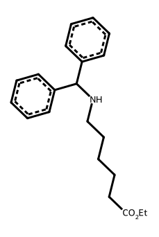 CCOC(=O)CCCCCNC(c1ccccc1)c1ccccc1